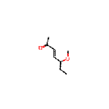 CCC(C=CC(C)=O)OC